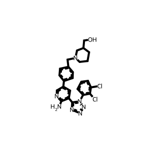 Nc1ncc(-c2ccc(CN3CCCC(CO)C3)cc2)cc1-c1nnnn1-c1cccc(Cl)c1Cl